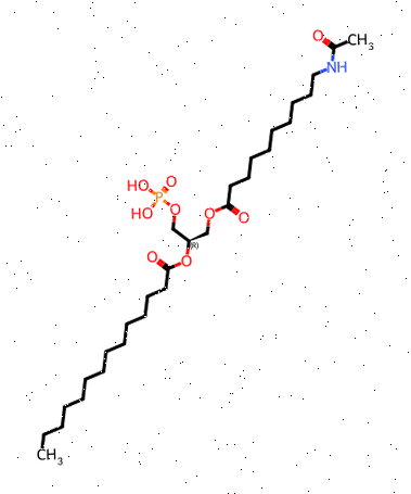 CCCCCCCCCCCCCC(=O)O[C@H](COC(=O)CCCCCCCCCNC(C)=O)COP(=O)(O)O